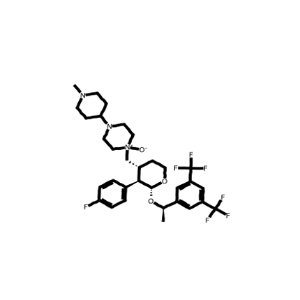 C[C@@H](O[C@H]1OCC[C@@H](C[N+]2([O-])CCN(C3CCN(C)CC3)CC2)[C@@H]1c1ccc(F)cc1)c1cc(C(F)(F)F)cc(C(F)(F)F)c1